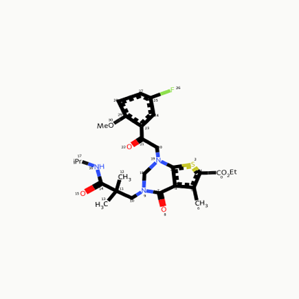 CCOC(=O)c1sc2c(c1C)C(=O)N(CC(C)(C)C(=O)NC(C)C)CN2CC(=O)c1cc(F)ccc1OC